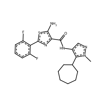 Cn1ncc(NC(=O)c2nc(-c3c(F)cccc3F)sc2N)c1C1CCCCCC1